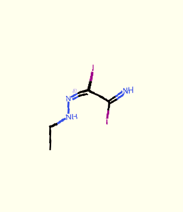 CCN/N=C(/I)C(=N)I